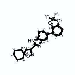 FC1(F)Oc2cccc(-c3ccc4[nH]c(C5=NOC6(CCCCC6)C5)nc4c3)c2O1